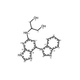 OCC(CO)Nc1nc(-n2cnc3ccccc32)c2nc[nH]c2n1